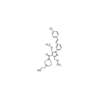 COCc1nn(-c2cccc(C=Cc3ccc(Cl)cc3)c2)c(COC)c1C(=O)N1CCCN(CCO)CC1